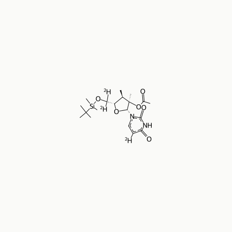 [2H]c1cn([C@@H]2O[C@H](C([2H])([2H])O[Si](C)(C)C(C)(C)C)[C@@H](C)[C@@]2(C)OC(C)=O)c(=O)[nH]c1=O